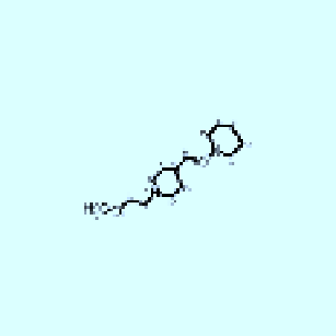 COCCN1CCC(CON2CCCCC2)CC1